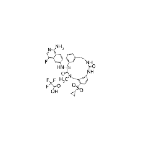 CN1Cc2cc(ccc2S(=O)(=O)C2CC2)NC(=O)NCCc2cccc(c2)[C@@H](Nc2ccc3c(N)ncc(F)c3c2)C1=O.O=C(O)C(F)(F)F